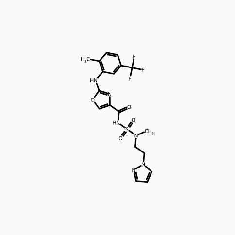 Cc1ccc(C(F)(F)F)cc1Nc1nc(C(=O)NS(=O)(=O)N(C)CCn2cccn2)co1